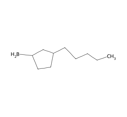 BC1CCC(CCCCC)C1